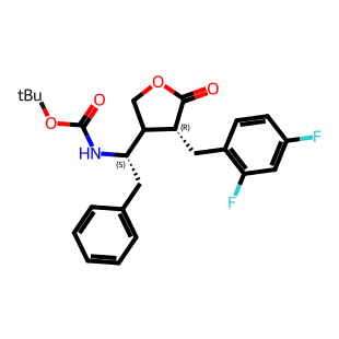 CC(C)(C)OC(=O)N[C@@H](Cc1ccccc1)C1COC(=O)[C@@H]1Cc1ccc(F)cc1F